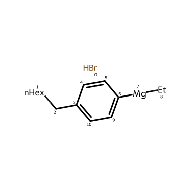 Br.CCCCCCCc1cc[c]([Mg][CH2]C)cc1